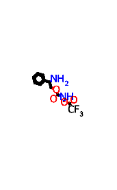 NC(COC(=O)NOC(=O)C(F)(F)F)c1ccccc1